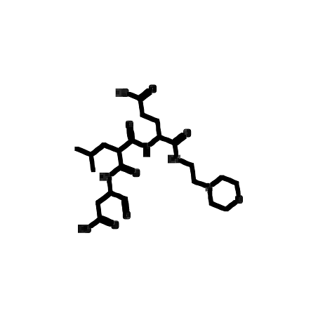 CC(C)CC(C(=O)NC(C=O)CC(=O)O)C(=O)NC(CCC(=O)O)C(=O)NCCN1CCOCC1